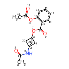 CC(=O)NC12CC(OC(=O)c3ccccc3OC(C)=O)(C1)C2